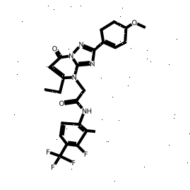 CCc1cc(=O)n2nc(C3=CCC(OC)CC3)nc2n1CC(=O)Nc1ccc(C(F)(F)F)c(F)c1C